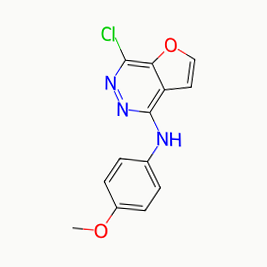 COc1ccc(Nc2nnc(Cl)c3occc23)cc1